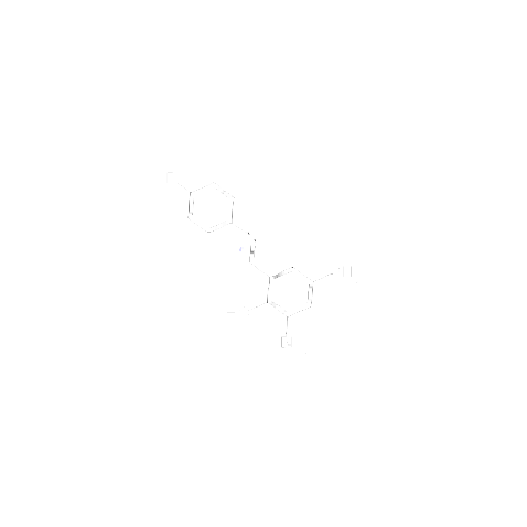 Bc1cc(B)c(O)c(/C=N/c2ccc(F)cc2)c1